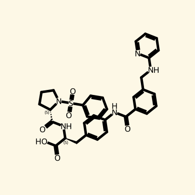 O=C(Nc1ccc(C[C@H](NC(=O)[C@@H]2CCCN2S(=O)(=O)c2ccccc2)C(=O)O)cc1)c1cccc(CNc2ccccn2)c1